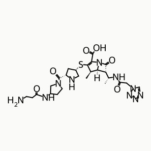 C[C@@H](NC(=O)Cn1cnnn1)[C@H]1C(=O)N2C(C(=O)O)=C(S[C@@H]3CN[C@H](C(=O)N4CC[C@@H](NC(=O)CCN)C4)C3)[C@H](C)[C@H]12